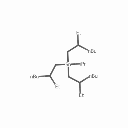 CCCCC(CC)[CH2][Sn]([CH2]C(CC)CCCC)([CH2]C(CC)CCCC)[CH](C)C